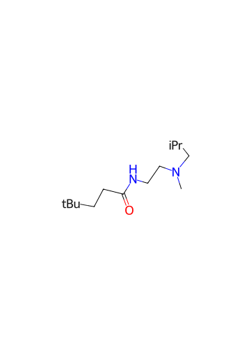 CC(C)CN(C)CCNC(=O)CCC(C)(C)C